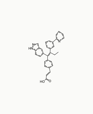 CCC(=C(c1ccc(C=CC(=O)O)cc1)c1ccc2[nH]ncc2c1)c1cccc(-c2ccccn2)c1